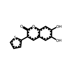 O=c1oc2cc(O)c(O)cc2cc1-c1cccs1